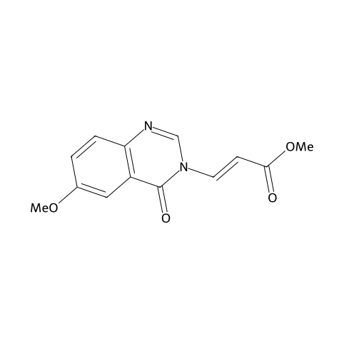 COC(=O)C=Cn1cnc2ccc(OC)cc2c1=O